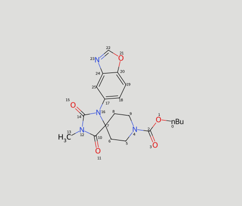 CCCCOC(=O)N1CCC2(CC1)C(=O)N(C)C(=O)N2c1ccc2ocnc2c1